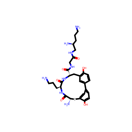 NCCC[C@H](N)CNC(=O)CNC(=O)[C@@H]1Cc2cc(ccc2O)-c2ccc(O)c(c2)C[C@H](N)C(=O)N[C@@H](CCCN)C(=O)N1